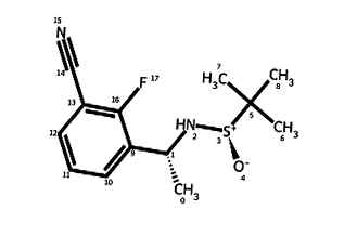 C[C@@H](N[S@+]([O-])C(C)(C)C)c1cccc(C#N)c1F